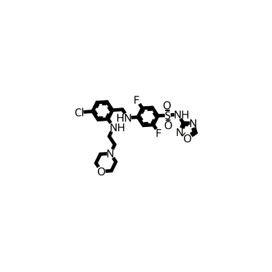 O=S(=O)(Nc1ncon1)c1cc(F)c(NCc2ccc(Cl)cc2NCCN2CCOCC2)cc1F